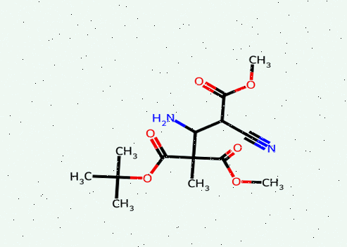 COC(=O)C(C#N)C(N)C(C)(C(=O)OC)C(=O)OC(C)(C)C